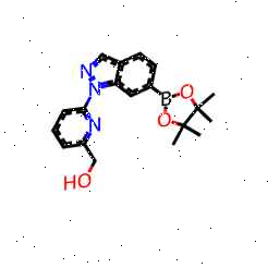 CC1(C)OB(c2ccc3cnn(-c4cccc(CO)n4)c3c2)OC1(C)C